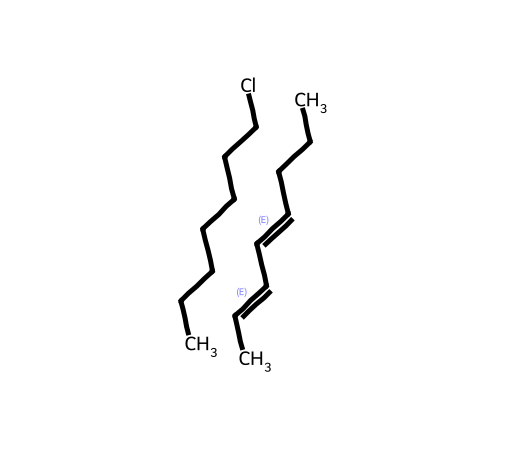 C/C=C/C=C/CCC.CCCCCCCCl